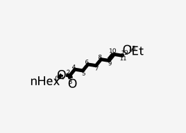 CCCCCCOC(=O)CCCCCC=CCOCC